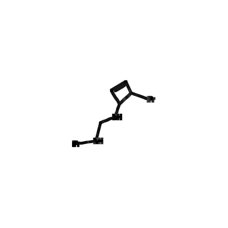 CC(C)NCNC1C=CC1C(C)C